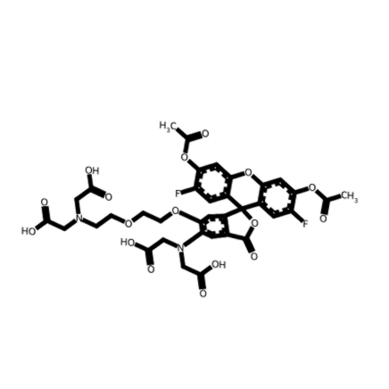 CC(=O)Oc1cc2c(cc1F)C1(OC(=O)c3cc(N(CC(=O)O)CC(=O)O)c(OCCOCCN(CC(=O)O)CC(=O)O)cc31)c1cc(F)c(OC(C)=O)cc1O2